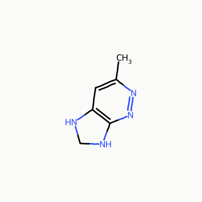 Cc1cc2c(nn1)NCN2